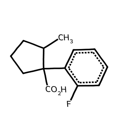 CC1CCCC1(C(=O)O)c1ccccc1F